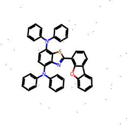 c1ccc(N(c2ccccc2)c2ccc(N(c3ccccc3)c3ccccc3)c3sc(-c4cccc5c4oc4ccccc45)nc23)cc1